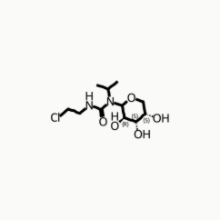 CC(C)N(C(=O)NCCCl)C1OC[C@H](O)[C@H](O)[C@H]1O